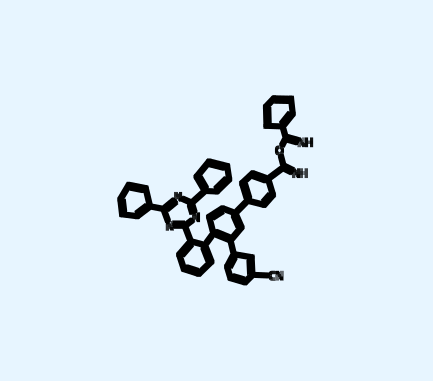 N#Cc1cccc(-c2cc(-c3ccc(C(=N)OC(=N)c4ccccc4)cc3)ccc2-c2ccccc2-c2nc(-c3ccccc3)nc(-c3ccccc3)n2)c1